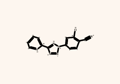 N#Cc1ccc(-n2nnc(-c3ccccn3)n2)cc1Cl